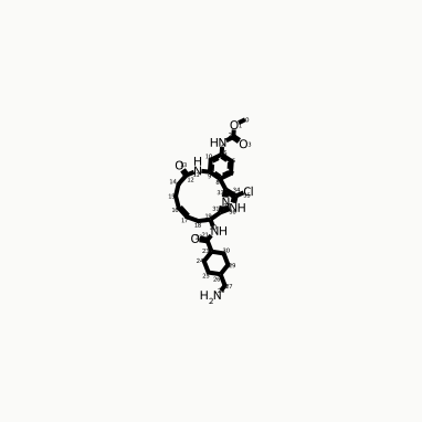 COC(=O)Nc1ccc2c(c1)NC(=O)CCC=CCC(NC(=O)C1CCC(CN)CC1)c1nc-2c(Cl)[nH]1